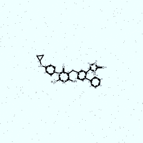 CCCc1nc(C)n(-c2ccc(OC3CC3)cc2)c(=O)c1Cc1ccc(-c2ccccc2)c(-c2noc(=O)[nH]2)c1